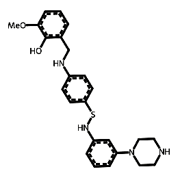 COc1cccc(CNc2ccc(SNc3cccc(N4CCNCC4)c3)cc2)c1O